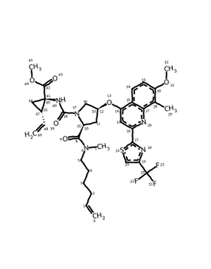 C=CCCCCN(C)C(=O)[C@@H]1C[C@H](Oc2cc(-c3nc(C(F)(F)F)cs3)nc3c(C)c(OC)ccc23)CN1C(=O)N[C@]1(C(=O)OC)C[C@H]1C=C